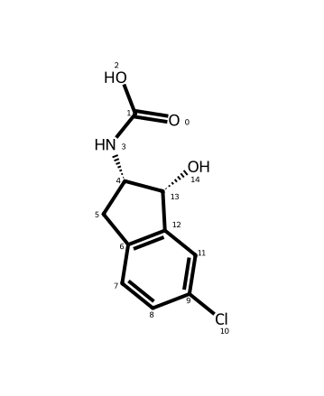 O=C(O)N[C@H]1Cc2ccc(Cl)cc2[C@H]1O